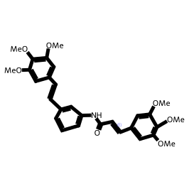 COc1cc(C=Cc2cccc(NC(=O)/C=C/c3cc(OC)c(OC)c(OC)c3)c2)cc(OC)c1OC